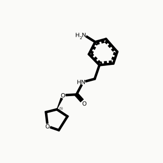 Nc1cccc(CNC(=O)O[C@H]2CCOC2)c1